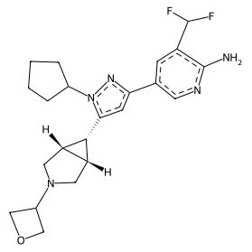 Nc1ncc(-c2cc([C@@H]3[C@@H]4CN(C5COC5)C[C@@H]43)n(C3CCCC3)n2)cc1C(F)F